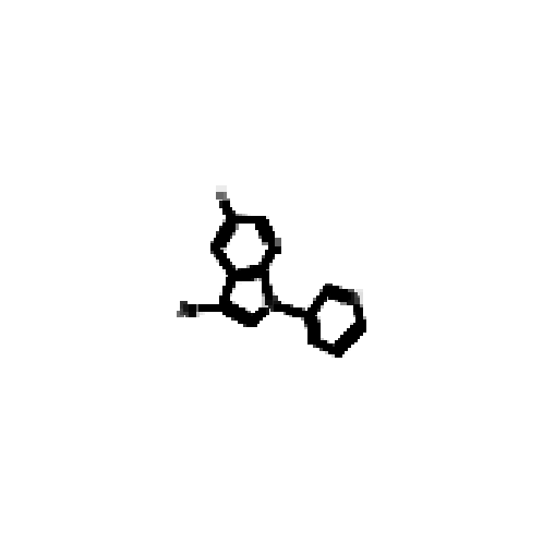 CC(=O)c1cn(-c2cccnc2)c2ncc(F)cc12